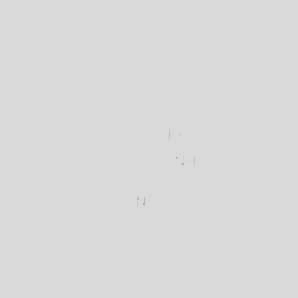 Cl.ClCCc1ncc[nH]1